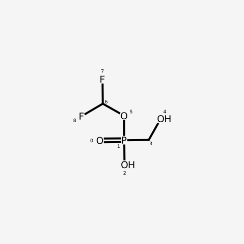 O=P(O)(CO)OC(F)F